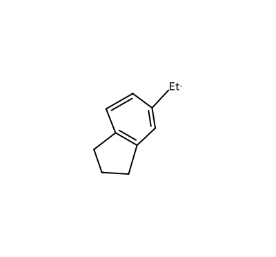 C[CH]c1ccc2c(c1)CCC2